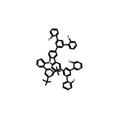 CC(C)(C)c1cc(-c2ccccc2-n2c3ccc(-c4cc(-c5ccccc5F)cc(-c5ccccc5F)c4)cc3c3cc(-c4cc(-c5ccccc5F)cc(-c5ccccc5F)c4)ccc32)cc(C(C)(C)C)c1